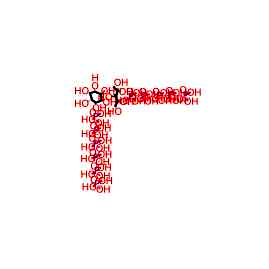 O=P(O)(O)O.O=P(O)(O)O.O=P(O)(O)O.O=P(O)(O)O.O=P(O)(O)O.O=P(O)(O)O.O=P(O)(O)O.O=P(O)(O)O.O=P(O)(O)O.O=P(O)(O)O.O=P(O)(O)O.OC[C@@H](O)[C@H](O)[C@@H](O)CO.O[C@H]1[C@H](O)[C@@H](O)[C@H](O)[C@@H](O)[C@H]1O